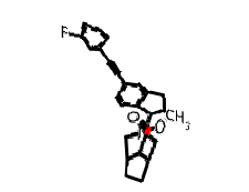 COC(=O)C1C2CCC1CN(C1CCc3cc(C#Cc4cccc(F)c4)ccc31)C2